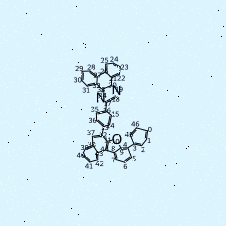 c1ccc(-c2cccc3c2oc2c(-c4ccc(-c5cnc6c7ccccc7c7ccccc7c6n5)cc4)cc4ccccc4c23)cc1